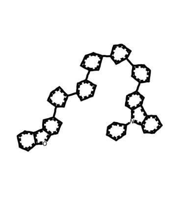 c1ccc(-n2c3ccccc3c3cc(-c4cccc(-c5cccc(-c6cccc(-c7cccc(-c8cccc(-c9ccc%10oc%11ccccc%11c%10c9)c8)c7)c6)c5)c4)ccc32)cc1